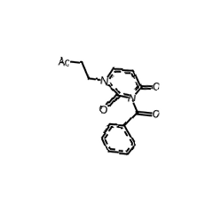 CC(=O)CCn1ccc(=O)n(C(=O)c2ccccc2)c1=O